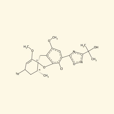 [2H]C1C=C(OC)[C@]2(Cc3c(OC)cc(-c4nc(C(C)(C)O)no4)c(Cl)c3O2)[C@H](C)C1